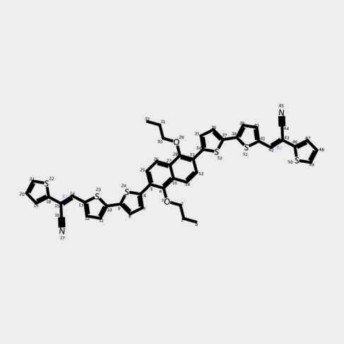 CCCOc1c(-c2ccc(-c3ccc(/C=C(\C#N)c4cccs4)s3)s2)ccc2c(OCCC)c(-c3ccc(-c4ccc(/C=C(\C#N)c5cccs5)s4)s3)ccc12